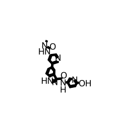 CN(C)C(=O)Nc1cncc(-c2ccc3[nH]nc(C(=O)Nc4ccc(O)nc4)c3c2)c1